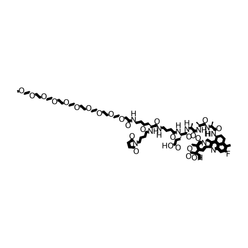 CC[C@@]1(O)C(=O)OCc2c1cc1n(c2=O)Cc2c-1nc1cc(F)c(C)c3c1c2[C@@H](NC(=O)[C@H](C)NC(=O)[C@H](C)NC(=O)[C@H](C)NC(=O)[C@H](CCC(=O)O)NC(=O)CCCNC(=O)[C@H](CCCCNC(=O)COCCOCCOCCOCCOCCOCCOCCOCCOCCOC)NC(=O)CCCN1C(=O)C=CC1=O)CC3